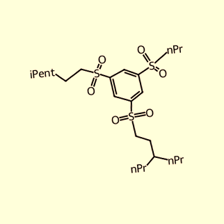 CCCC(C)CCS(=O)(=O)c1cc(S(=O)(=O)CCC)cc(S(=O)(=O)CCC(CCC)CCC)c1